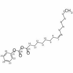 CCCCCC/C=C\CCCCCCCC(=O)OC(=O)Oc1ccccc1